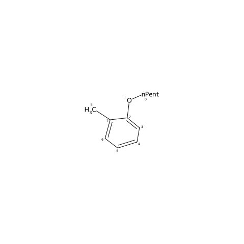 CCCCCOc1ccccc1C